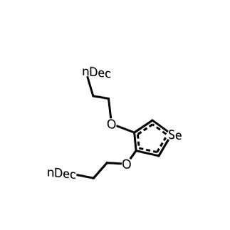 CCCCCCCCCCCCOc1c[se]cc1OCCCCCCCCCCCC